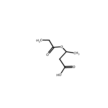 [CH2]CC(=O)OC(C)CC(=O)O